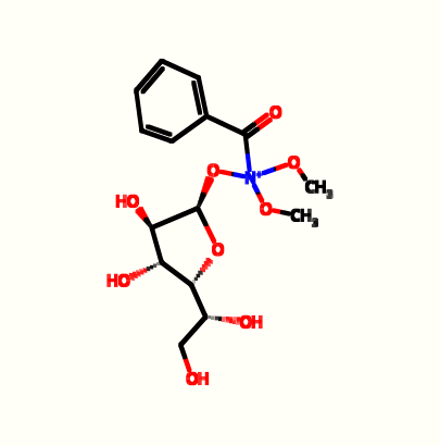 CO[N+](OC)(O[C@H]1O[C@H]([C@H](O)CO)[C@H](O)[C@H]1O)C(=O)c1ccccc1